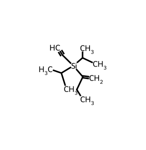 C#C[Si](C(=C)CC)(C(C)C)C(C)C